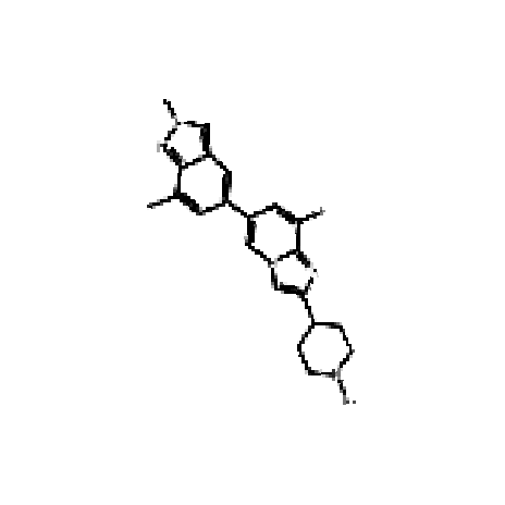 CCN1CCC(c2cn3cc(-c4cc(C)c5nn(C)cc5c4)cc(F)c3n2)CC1